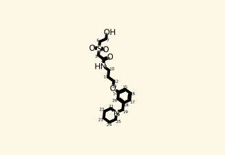 O=C(CS(=O)(=O)CCO)NCCCOc1cccc(CN2CCCCC2)c1